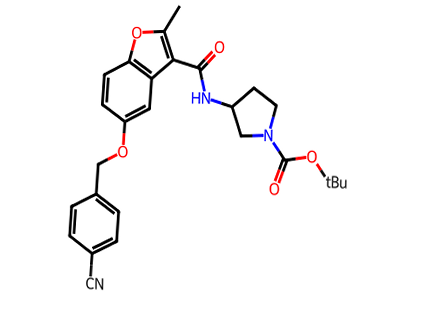 Cc1oc2ccc(OCc3ccc(C#N)cc3)cc2c1C(=O)NC1CCN(C(=O)OC(C)(C)C)C1